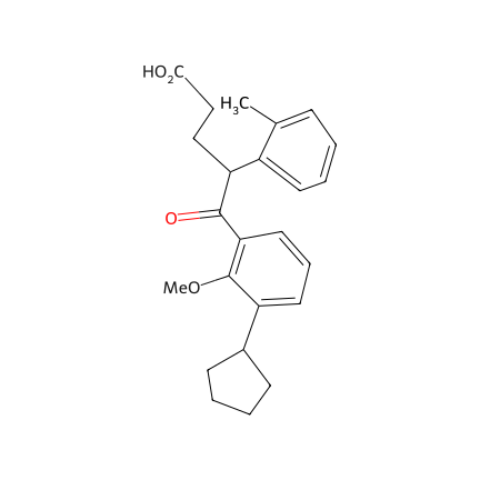 COc1c(C(=O)C(CCC(=O)O)c2ccccc2C)cccc1C1CCCC1